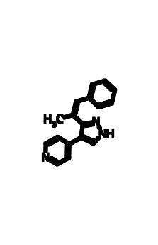 CC(=Cc1ccccc1)c1n[nH]cc1-c1ccncc1